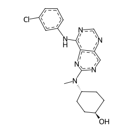 CN(c1ncc2ncnc(Nc3cccc(Cl)c3)c2n1)[C@H]1CC[C@H](O)CC1